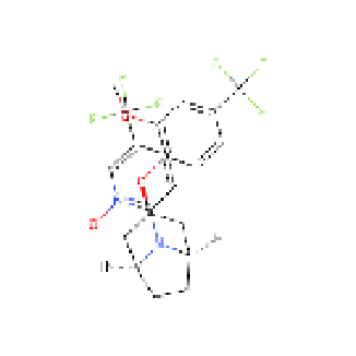 COc1cc(C(F)(F)F)ccc1O[C@H]1C[C@H]2CC[C@@H](C1)N2c1ccc(C(F)(F)F)c[n+]1[O-]